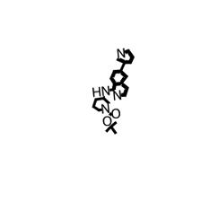 CC(C)(C)OC(=O)N1CCC[C@@H](Nc2nccc3cc(-c4cccnc4)ccc23)C1